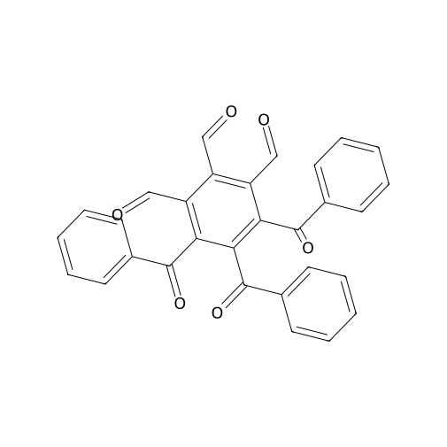 O=Cc1c(C=O)c(C(=O)c2ccccc2)c(C(=O)c2ccccc2)c(C(=O)c2ccccc2)c1C=O